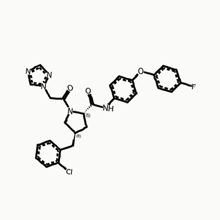 O=C(Nc1ccc(Oc2ccc(F)cc2)cc1)[C@@H]1C[C@@H](Cc2ccccc2Cl)CN1C(=O)Cn1cncn1